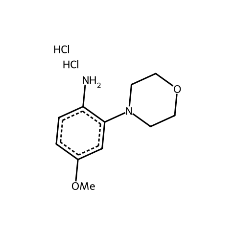 COc1ccc(N)c(N2CCOCC2)c1.Cl.Cl